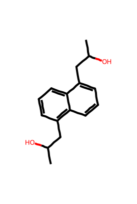 CC(O)Cc1cccc2c(CC(C)O)cccc12